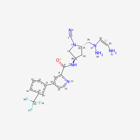 N#CN1C[C@H](NC(=O)c2cc(-c3cccc(C(F)(F)F)c3)ccn2)C[C@H]1CN(N)/C=C\N